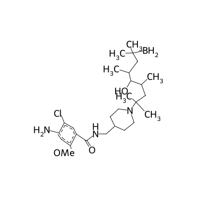 BC(C)(C)CC(C)C(O)C(C)CC(C)(C)N1CCC(CNC(=O)c2cc(Cl)c(N)cc2OC)CC1